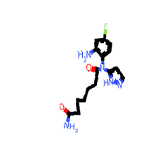 NC(=O)CCCCCC(=O)N(c1ccn[nH]1)c1ccc(F)cc1N